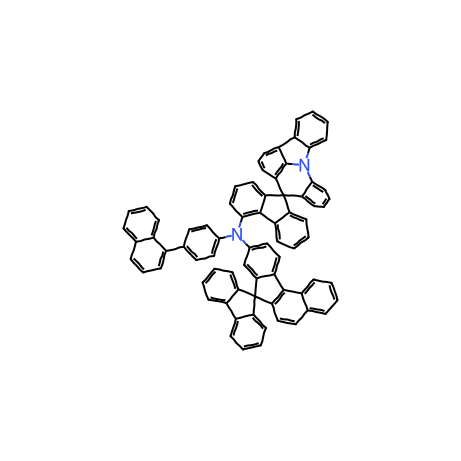 c1ccc2c(c1)-c1ccccc1C21c2cc(N(c3ccc(-c4cccc5ccccc45)cc3)c3cccc4c3-c3ccccc3C43c4ccccc4-n4c5ccccc5c5cccc3c54)ccc2-c2c1ccc1ccccc21